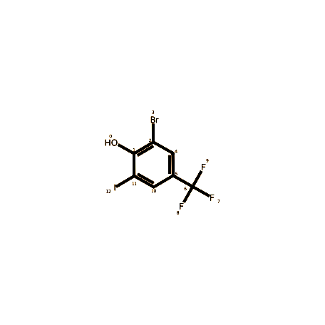 Oc1c(Br)cc(C(F)(F)F)cc1I